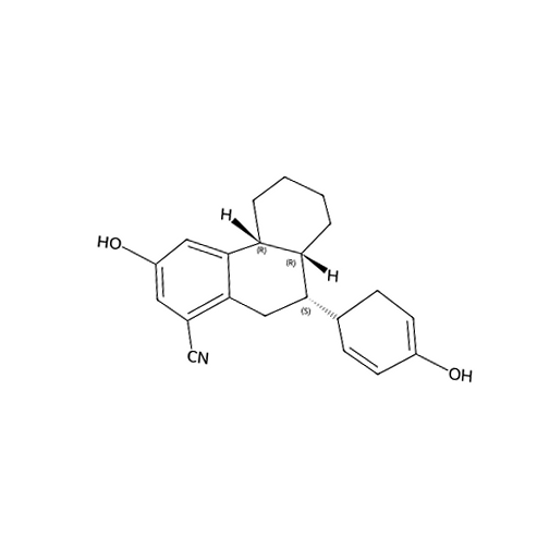 N#Cc1cc(O)cc2c1C[C@@H](C1C=CC(O)=CC1)[C@H]1CCCC[C@@H]21